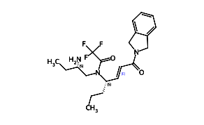 CCC[C@@H](/C=C/C(=O)N1Cc2ccccc2C1)N(C[C@@H](N)CC)C(=O)C(F)(F)F